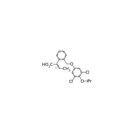 C/C=C(/C(=O)O)c1ccccc1COc1cc(Cl)c(OC(C)C)c(Cl)c1